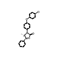 C[C@H]1[C@H](c2ccccc2)OC(=O)N1c1ccc(Oc2ccc(Cl)cc2)cc1